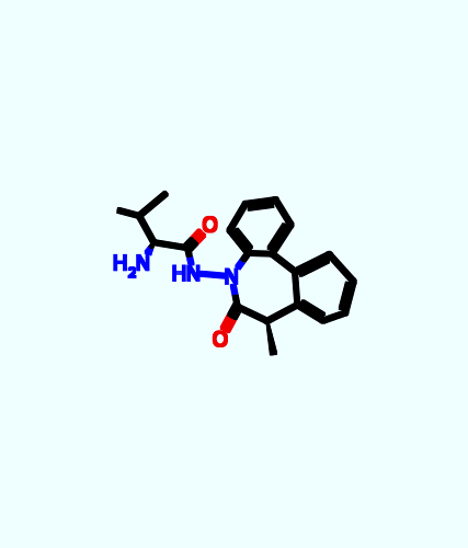 CC(C)[C@H](N)C(=O)NN1C(=O)[C@H](C)c2ccccc2-c2ccccc21